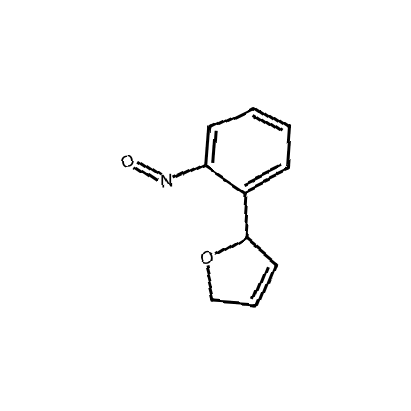 O=Nc1ccccc1C1C=CCO1